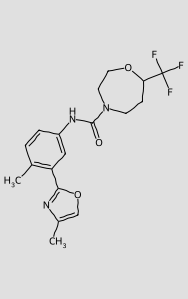 Cc1coc(-c2cc(NC(=O)N3CCOC(C(F)(F)F)CC3)ccc2C)n1